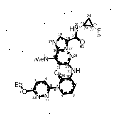 CCOc1ccc(-n2cccc(Nc3cc(NC)c4ncc(C(=O)N[C@@H]5C[C@@H]5F)n4n3)c2=O)nn1